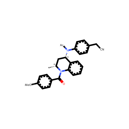 COc1ccc(C(=O)N2c3ccccc3[C@@H](N(C(C)=O)c3ccc(CC#N)cc3)C[C@H]2C)cc1